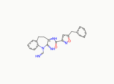 N=CN1C(=N)[C@H](NC(=O)c2cc(Cc3ccccc3)on2)CCc2ccccc21